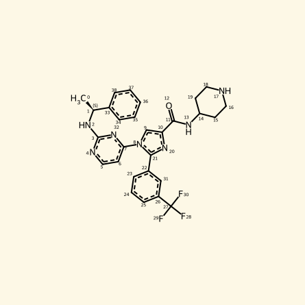 C[C@H](Nc1nccc(-n2cc(C(=O)NC3CCNCC3)nc2-c2cccc(C(F)(F)F)c2)n1)c1ccccc1